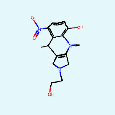 CC1C2=C(CN(CCO)C2)N(C)c2c(O)ccc([N+](=O)[O-])c21